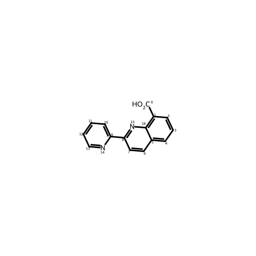 O=C(O)c1cccc2ccc(-c3ccccn3)nc12